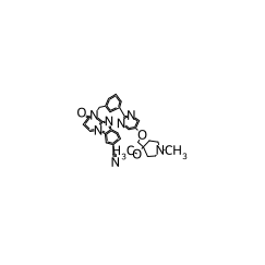 COC1(COc2cnc(-c3cccc(Cn4c(=O)ccn5c6cc(C#N)ccc6nc45)c3)nc2)CCN(C)CC1